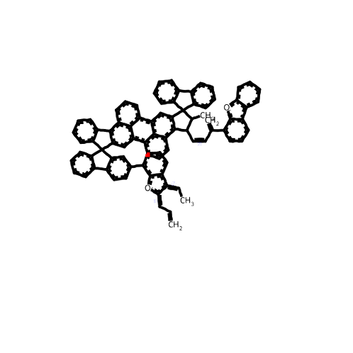 C=C/C=c1/oc2c(-c3ccc4c(c3)C3(c5ccccc5-4)c4ccccc4-c4c3cc3c5cccc6c7c(cc(c8cccc4c38)c65)C3(c4ccccc4-c4ccccc43)C(C)C7/C=C\C(=C)c3cccc4c3oc3ccccc34)cccc2/c1=C/C